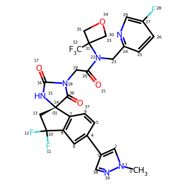 Cn1cc(-c2ccc3c(c2)C(F)(F)C[C@]32NC(=O)N(CC(=O)N(Cc3ccc(F)cn3)C3(C(F)(F)F)COC3)C2=O)cn1